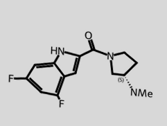 CN[C@H]1CCN(C(=O)c2cc3c(F)cc(F)cc3[nH]2)C1